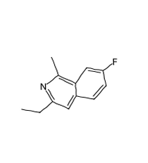 CCc1cc2ccc(F)cc2c(C)n1